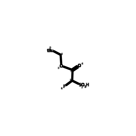 CC(C)(C)COC(=O)C(F)S(=O)(=O)O